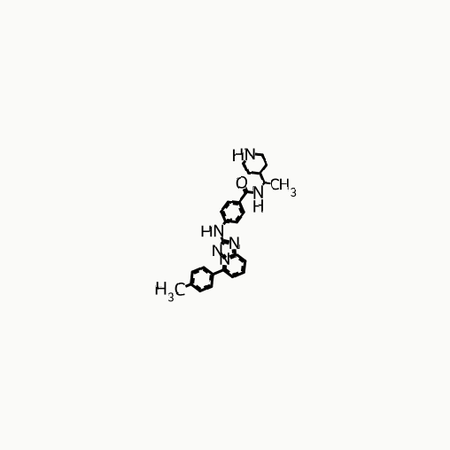 Cc1ccc(-c2cccc3nc(Nc4ccc(C(=O)NC(C)C5CCNCC5)cc4)nn23)cc1